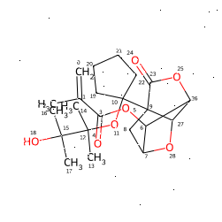 C=C(C)C(=O)OC1C2CC3(C4(OC(C)(C)C(C)(C)O)CCCC4)C(=O)OC1C3O2